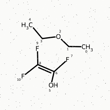 CCOCC.OC(F)=C(F)F